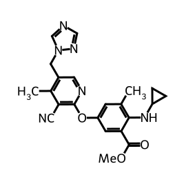 COC(=O)c1cc(Oc2ncc(Cn3cncn3)c(C)c2C#N)cc(C)c1NC1CC1